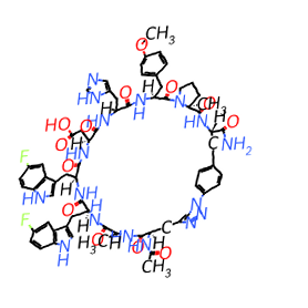 COc1ccc(C[C@@H]2NC(=O)[C@@H](Cc3cnc[nH]3)NC(=O)[C@H](CC(=O)O)NC(=O)[C@H](Cc3c[nH]c4ccc(F)cc34)NC(=O)[C@H](Cc3c[nH]c4ccc(F)cc34)NC(=O)[C@@H](C)NC(=O)[C@H](NC(C)=O)Cc3cn(nn3)-c3ccc(cc3)C[C@@H](C(N)=O)NC(=O)[C@]3(C)CCCN3C2=O)cc1